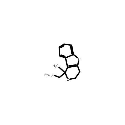 CCOC(=O)CC1(C)OCCc2oc3ccccc3c21